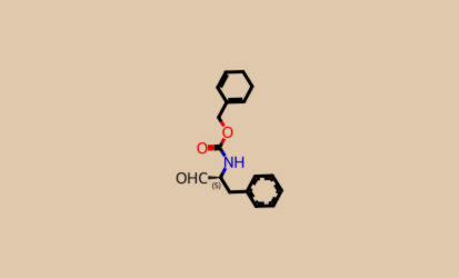 O=C[C@H](Cc1ccccc1)NC(=O)OCC1=CCCC=C1